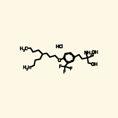 CCCCC(CC[CH2][InH2])CCCOc1ccc(CCC(N)(CO)CO)cc1C(F)(F)F.Cl